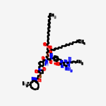 CCCCCCCCCCCCCCCC(=O)OCC(CSCC(NC(=O)C1CCC(CN2C(=O)CC(SCC(=O)NC3CCCCCCCC(C)CC3)C2=O)CC1)C(=O)Nc1ccc(Cn2c(O)nc3c(N)nc(NCCCC)nc32)cc1)OC(=O)CCCCCCCCCCCCCCC